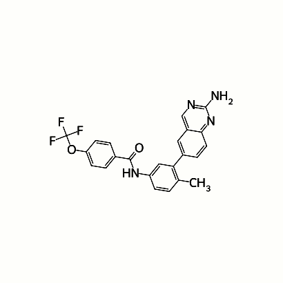 Cc1ccc(NC(=O)c2ccc(OC(F)(F)F)cc2)cc1-c1ccc2nc(N)ncc2c1